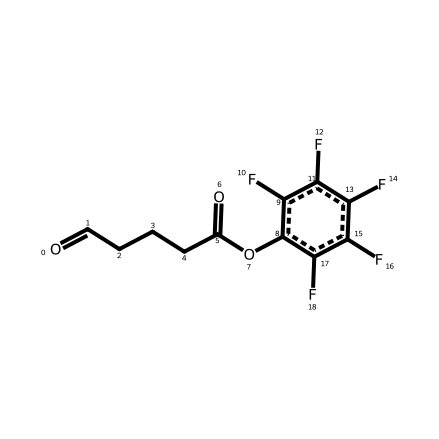 O=CCCCC(=O)Oc1c(F)c(F)c(F)c(F)c1F